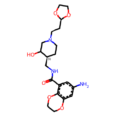 Nc1cc2c(c(C(=O)NC[C@@H]3CCN(CCC4OCCO4)CC3O)c1)OCCO2